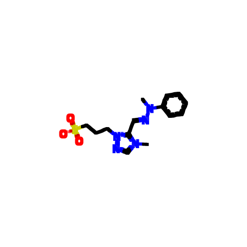 CN(/N=C/c1n(C)cn[n+]1CCCS(=O)(=O)[O-])c1ccccc1